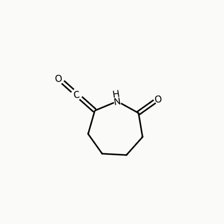 O=C=C1CCCCC(=O)N1